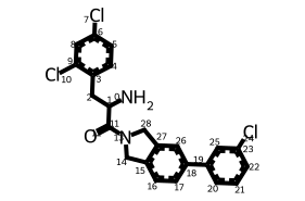 NC(Cc1ccc(Cl)cc1Cl)C(=O)N1Cc2ccc(-c3cccc(Cl)c3)cc2C1